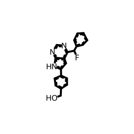 OCc1ccc(-c2cc3c(C(F)c4ccccc4)ncnc3[nH]2)cc1